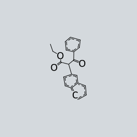 CCOC(=O)C(C(=O)c1ccccc1)c1ccc2ccccc2c1